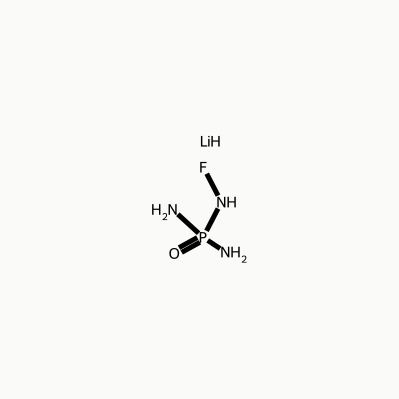 NP(N)(=O)NF.[LiH]